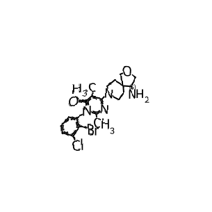 Cc1c(N2CCC3(CC2)COC[C@H]3N)nc(C)n(-c2cccc(Cl)c2Br)c1=O